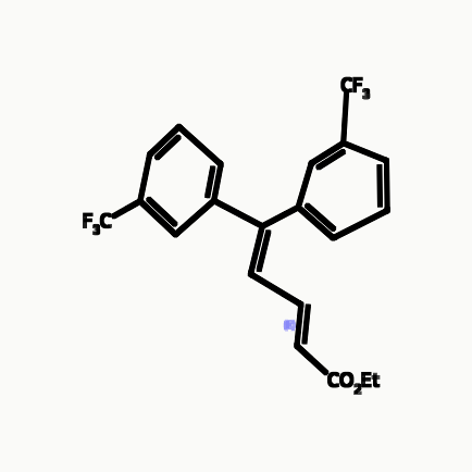 CCOC(=O)/C=C/C=C(c1cccc(C(F)(F)F)c1)c1cccc(C(F)(F)F)c1